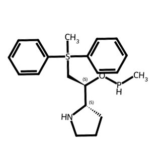 CPO[C@H](CS(C)(c1ccccc1)c1ccccc1)[C@@H]1CCCN1